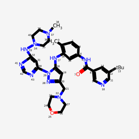 Cc1ccc(NC(=O)c2cncc(C(C)(C)C)c2)cc1Nc1cc(CN2CCOCC2)nn1-c1cc(NN2CCN(C)CC2)ncn1